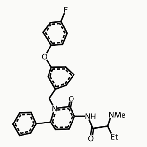 CCC(NC)C(=O)Nc1ccc(-c2ccccc2)n(Cc2cccc(Oc3ccc(F)cc3)c2)c1=O